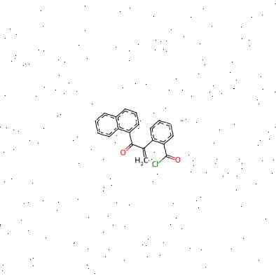 C=C(C(=O)c1cccc2ccccc12)c1ccccc1C(=O)Cl